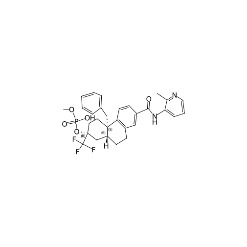 COP(=O)(O)O[C@]1(C(F)(F)F)CC[C@@]2(Cc3ccccc3)c3ccc(C(=O)Nc4cccnc4C)cc3CC[C@@H]2C1